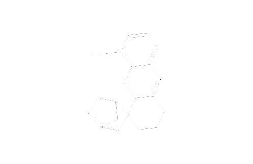 Cc1cccc2cc3c(cc12)C1(CCC3)CC2=CCC1C2